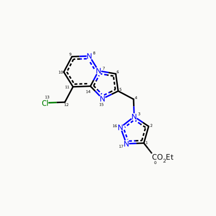 CCOC(=O)c1cn(Cc2cn3nccc(CCl)c3n2)nn1